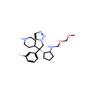 COCOCN[C@H]1CCC[C@@H]1C(Cn1ccnn1)(c1cccc(F)c1)C1CCNCC1